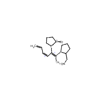 C=C/C=C\C(=C(/C)P1CCCC1CN=O)P1CCC[C@H]1CC